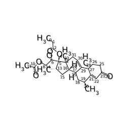 CCC(=O)O[C@]1(C(=O)COC(C)=O)[C@@H](C)C[C@H]2[C@@H]3C[C@H](C)C4=CC(=O)CC[C@]4(C)C3=CC[C@@]21C